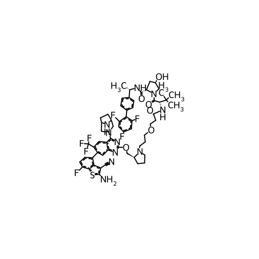 C[C@H](NC(=O)[C@@H]1C[C@@H](O)CN1C(=O)[C@@H](NC(=O)CCOCCCN1CCC[C@H]1COc1nc(N2CC3CCC(C2)N3)c2cc(C(F)(F)F)c(-c3ccc(F)c4sc(N)c(C#N)c34)cc2n1)C(C)(C)C)c1ccc(-c2c(F)cc(F)cc2F)cc1